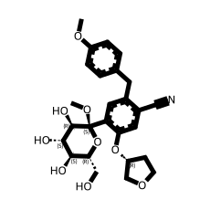 COc1ccc(Cc2cc([C@]3(OC)O[C@H](CO)[C@@H](O)[C@H](O)[C@H]3O)c(O[C@@H]3CCOC3)cc2C#N)cc1